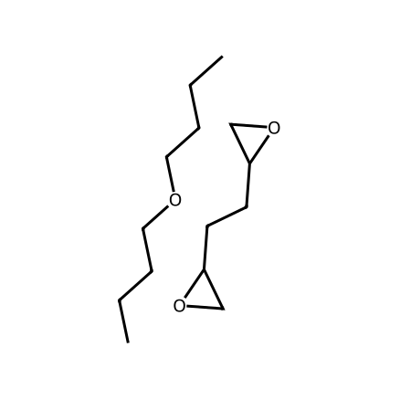 C(CC1CO1)C1CO1.CCCCOCCCC